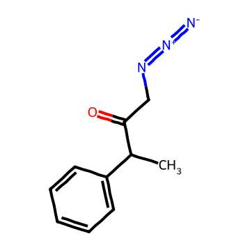 CC(C(=O)CN=[N+]=[N-])c1ccccc1